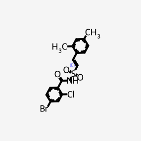 Cc1ccc(/C=C/S(=O)(=O)NC(=O)c2ccc(Br)cc2Cl)c(C)c1